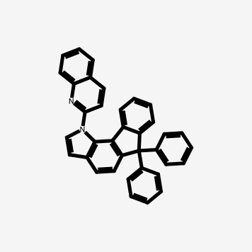 c1ccc(C2(c3ccccc3)c3ccccc3-c3c2ccc2ccn(-c4ccc5ccccc5n4)c32)cc1